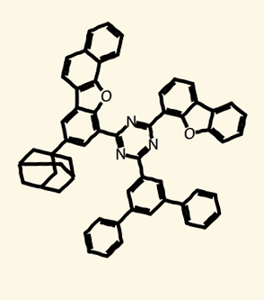 c1ccc(-c2cc(-c3ccccc3)cc(-c3nc(-c4cccc5c4oc4ccccc45)nc(-c4cc(C56CC7CC(CC(C7)C5)C6)cc5c4oc4c6ccccc6ccc54)n3)c2)cc1